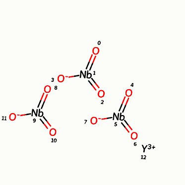 [O]=[Nb](=[O])[O-].[O]=[Nb](=[O])[O-].[O]=[Nb](=[O])[O-].[Y+3]